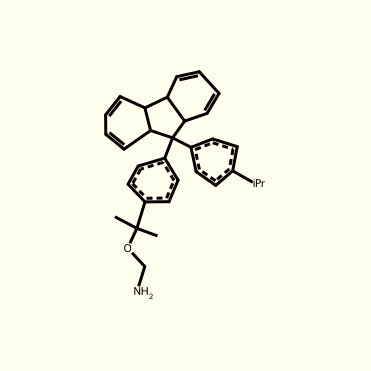 CC(C)c1ccc(C2(c3ccc(C(C)(C)OCN)cc3)C3C=CC=CC3C3C=CC=CC32)cc1